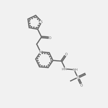 C=S(C)(=O)NNC(=O)c1ccc[n+](CC(=O)c2cccs2)c1